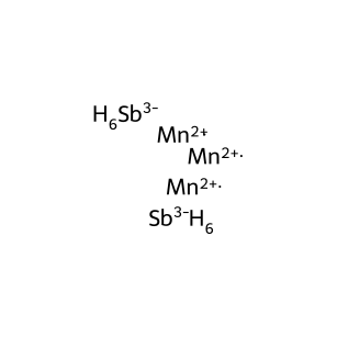 [Mn+2].[Mn+2].[Mn+2].[SbH6-3].[SbH6-3]